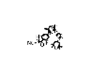 Cc1cnc(Nc2cnn(C3CC(C)(C)OC(C)(C)C3)c2)nc1-c1ccc(C(=O)NCC#N)c(F)c1